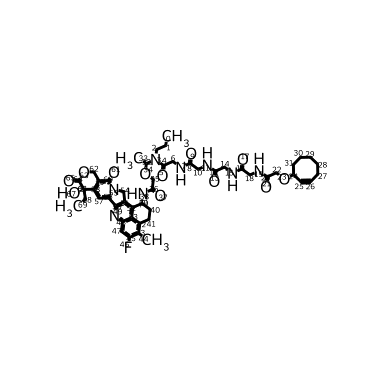 CCCN(C(=O)CNC(=O)CNC(=O)CNC(=O)CNC(=O)COC1C#CCCCCC1)C(C)OCC(=O)N[C@H]1CCc2c(C)c(F)cc3nc4c(c1c23)Cn1c-4cc2c(c1=O)COC(=O)[C@]2(O)CC